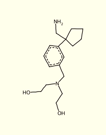 NCC1(c2cccc(CN(CCO)CCO)c2)CCCC1